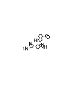 c1cc(-c2ccoc2)c2cc(-c3n[nH]c4ccc(-c5cncc(CN6CCCC6)c5)cc34)[nH]c2c1